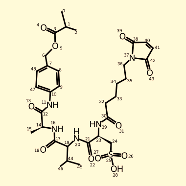 CC(C)C(=O)OCc1ccc(NC(=O)[C@H](C)NC(=O)C(NC(=O)[C@H](CS(=O)(=O)O)NC(=O)CCCCCN2C(=O)C=CC2=O)C(C)C)cc1